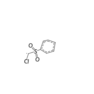 O=S(=O)([CH]Cl)c1ccccc1